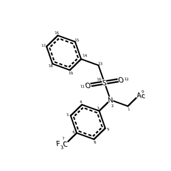 CC(=O)CN(c1ccc(C(F)(F)F)cc1)S(=O)(=O)Cc1ccccc1